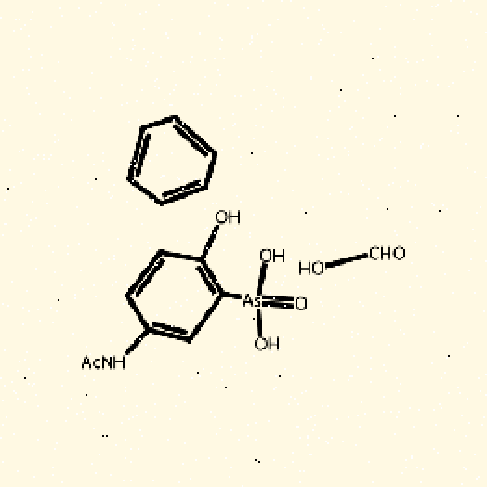 CC(=O)Nc1ccc(O)c([As](=O)(O)O)c1.O=CO.c1ccccc1